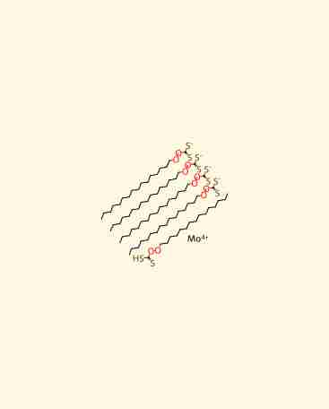 CCCCCCCCCCCCCCCCOOC(=S)[S-].CCCCCCCCCCCCCCCCOOC(=S)[S-].CCCCCCCCCCCCCCCCOOC(=S)[S-].CCCCCCCCCCCCCCCCOOC(=S)[S-].CCCCCCCCCCCCCCCOOC(=S)S.[Mo+4]